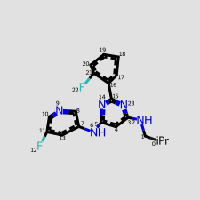 CC(C)CNc1cc(Nc2cncc(F)c2)nc(-c2ccccc2F)n1